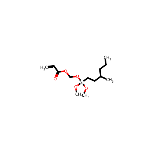 C=CC(=O)OCO[Si](CCC(C)CCC)(OC)OC